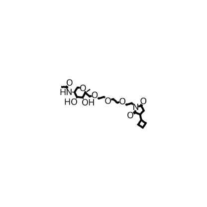 CC(=O)N[C@@H]1CO[C@](C)(COCCOCCOCCN2C(=O)CC(C3CCC3)C2=O)[C@H](O)[C@@H]1O